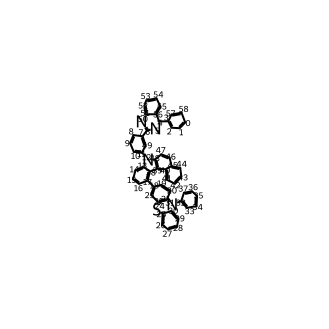 c1ccc(-c2nc(-c3cccc(-n4c5cccc(-c6ccc7c(c6)Sc6ccccc6N7c6ccccc6)c5c5c6ccccc6ccc54)c3)nc3ccccc23)cc1